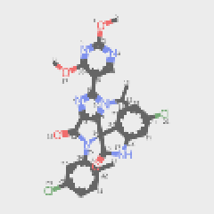 COc1ncc(-c2nc3c(n2C(C)C)[C@]2(C(=O)Nc4cc(Cl)ccc42)N(c2cc(Cl)ccc2C)C3=O)c(OC)n1